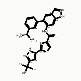 C[C@H]([AsH2])c1cccc(-c2cc3cn[nH]c3cc2NC(=O)c2csc(-c3cc(C(F)(F)F)n[nH]3)n2)c1